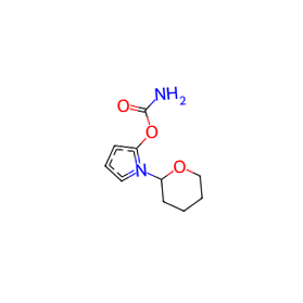 NC(=O)Oc1cccn1C1CCCCO1